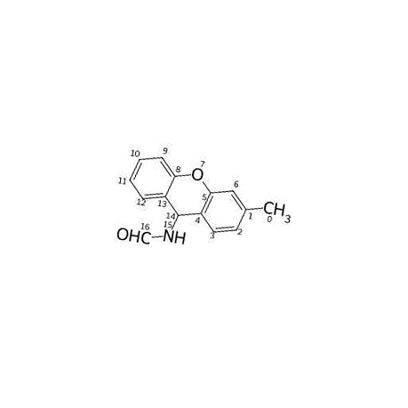 Cc1ccc2c(c1)Oc1ccccc1C2NC=O